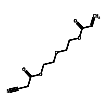 C=CC(=O)OCCOCCOC(=O)CC#N